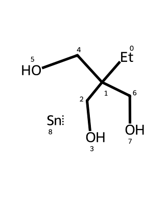 CCC(CO)(CO)CO.[Sn]